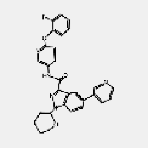 O=C(Nc1ccc(Oc2ccccc2F)nc1)c1nn(C2CCCCO2)c2ccc(-c3cccnc3)cc12